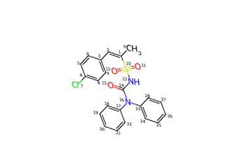 CC(=Cc1ccc(Cl)cc1)S(=O)(=O)NC(=O)N(c1ccccc1)c1ccccc1